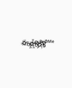 COCOC(=O)c1c(C)c(C)c(OC(=O)c2c(C)cc(OCc3ccccc3)c(C)c2C)c(C)c1Br